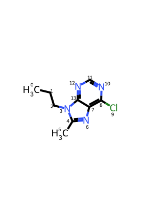 CCCn1c(C)nc2c(Cl)ncnc21